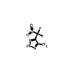 O=[SH](=O)C(F)(F)c1n[nH]nc1C(F)(F)F